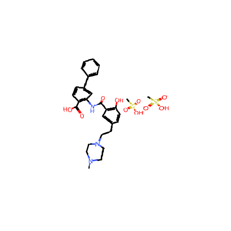 CN1CCN(CCc2ccc(O)c(C(=O)Nc3cc(-c4ccccc4)ccc3C(=O)O)c2)CC1.CS(=O)(=O)O.CS(=O)(=O)O